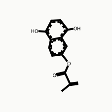 C=C(C)C(=O)Oc1ccc2c(O)ccc(O)c2c1